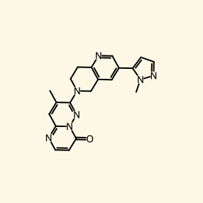 Cc1cc2nccc(=O)n2nc1N1CCc2ncc(-c3ccnn3C)cc2C1